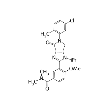 COc1ccc(C(=O)N(C)C)cc1-c1nc2c(n1C(C)C)CN(c1cc(Cl)ccc1C)C2=O